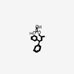 CC(=CC(c1ccccc1)c1ccccc1)COP(O)O